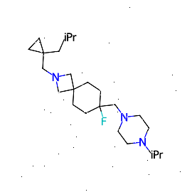 CC(C)CC1(CN2CC3(CCC(F)(CN4CCN(C(C)C)CC4)CC3)C2)CC1